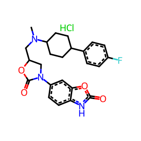 CN(CC1CN(c2ccc3[nH]c(=O)oc3c2)C(=O)O1)C1CCC(c2ccc(F)cc2)CC1.Cl